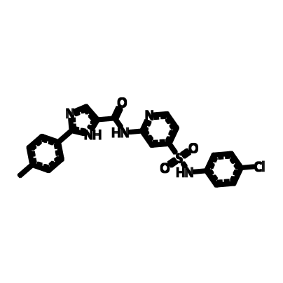 Cc1ccc(-c2ncc(C(=O)Nc3cc(S(=O)(=O)Nc4ccc(Cl)cc4)ccn3)[nH]2)cc1